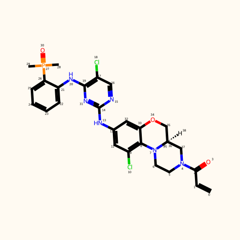 C=CC(=O)N1CCN2c3c(Cl)cc(Nc4ncc(Cl)c(Nc5ccccc5P(C)(C)=O)n4)cc3OC[C@H]2C1